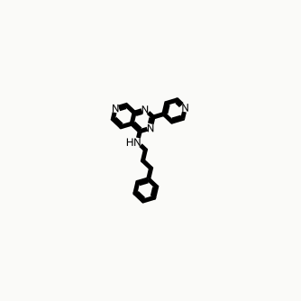 c1ccc(CCCNc2nc(-c3ccncc3)nc3cnccc23)cc1